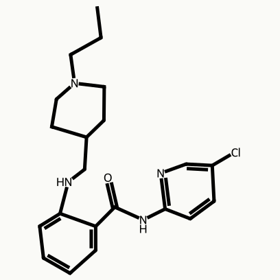 CCCN1CCC(CNc2ccccc2C(=O)Nc2ccc(Cl)cn2)CC1